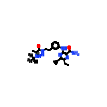 [2H]C([2H])([2H])N[C@@H](C)C(=O)NCCc1cccc(Nc2nc(C3CC3)c(CC)nc2C(N)=O)c1